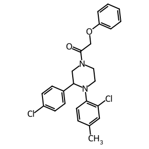 Cc1ccc(N2CCN(C(=O)COc3ccccc3)CC2c2ccc(Cl)cc2)c(Cl)c1